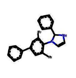 CC(C)c1cc(-c2ccccc2)cc(C(C)C)c1N1C=CNC1c1ccccc1